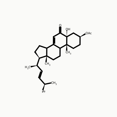 CC(=O)O[C@H]1CC[C@]2(C)C3CC[C@@]4(C)C(CC[C@@H]4[C@H](C)/C=C/[C@@H](C)C(C)C)C3=CC(=O)[C@@]2(O)C1